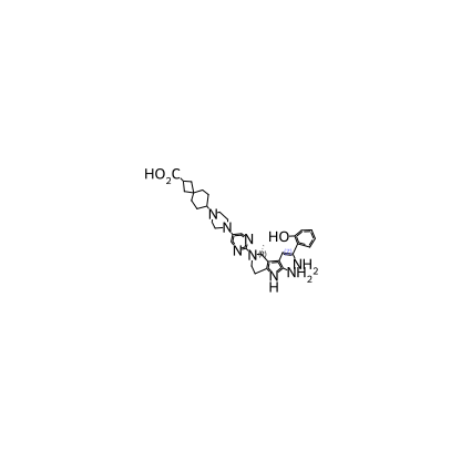 C[C@@H]1c2c([nH]c(N)c2/C=C(\N)c2ccccc2O)CCN1c1ncc(N2CCN(C3CCC4(CC3)CC(C(=O)O)C4)CC2)cn1